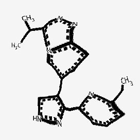 Cc1cccc(-c2n[nH]cc2-c2ccc3nnc(C(C)C)n3c2)n1